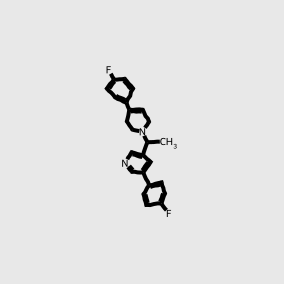 CC(c1cncc(-c2ccc(F)cc2)c1)N1CC=C(c2ccc(F)cc2)CC1